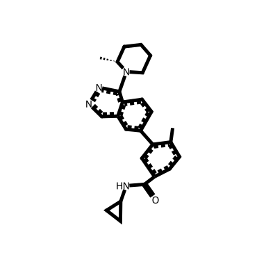 Cc1ccc(C(=O)NC2CC2)cc1-c1ccc2c(N3CCCC[C@H]3C)nncc2c1